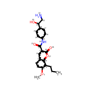 CCCc1c(OC)ccc2cc(C(=O)Nc3ccc(C(O)CN)cc3)c(=O)oc12